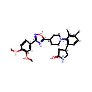 COc1ccc(-c2noc(C3CCN(c4c(C5CNC(=O)C5)ccc(C)c4C)CC3)n2)cc1OC